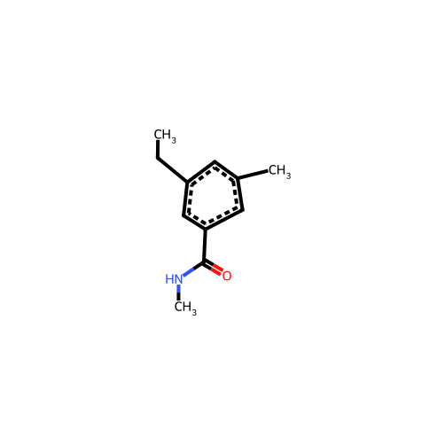 CCc1cc(C)cc(C(=O)NC)c1